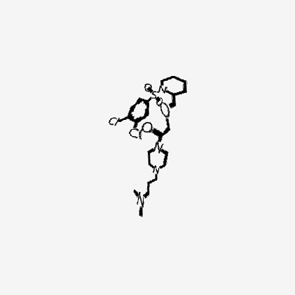 CN(C)CCCN1CCN(C(=O)COCC2CCCCN2S(=O)(=O)c2ccc(Cl)c(Cl)c2)CC1